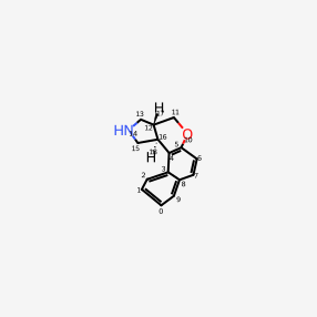 c1ccc2c3c(ccc2c1)OC[C@H]1CNC[C@H]31